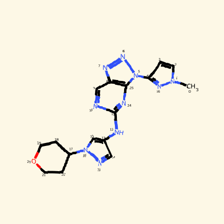 Cn1ccc(-n2nnc3cnc(Nc4cnn(C5CCOCC5)c4)nc32)n1